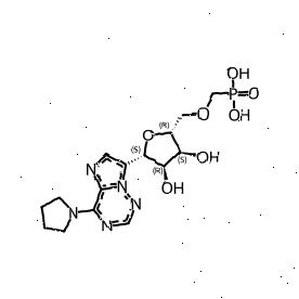 O=P(O)(O)COC[C@H]1O[C@@H](c2cnc3c(N4CCCC4)ncnn23)[C@H](O)[C@@H]1O